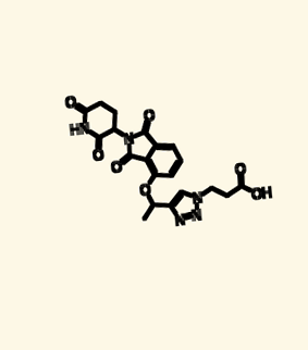 CC(Oc1cccc2c1C(=O)N(C1CCC(=O)NC1=O)C2=O)c1cn(CCC(=O)O)nn1